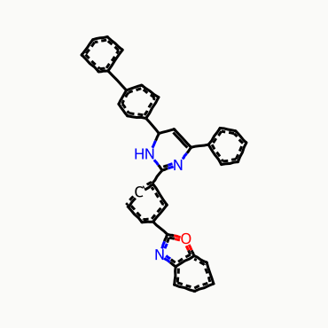 C1=C(c2ccccc2)N=C(c2cccc(-c3nc4ccccc4o3)c2)NC1c1ccc(-c2ccccc2)cc1